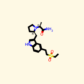 CCS(=O)(=O)CCc1ccc2[nH]cc(C[C@H]3CCCN3[C@@H](C)C(N)=O)c2c1